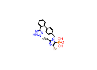 CCCCc1nc(Br)c(P(=O)(O)O)n1Cc1ccc(-c2ccccc2-c2nn[nH]n2)cc1